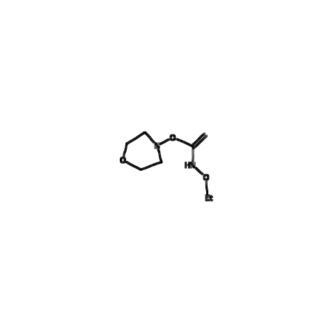 C=C(NOCC)ON1CCOCC1